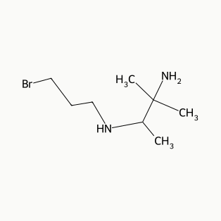 CC(NCCCBr)C(C)(C)N